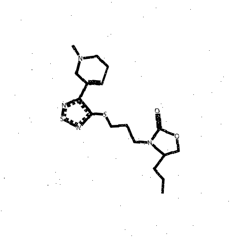 CCCC1COC(=O)N1CCCSc1nsnc1C1=CCCN(C)C1